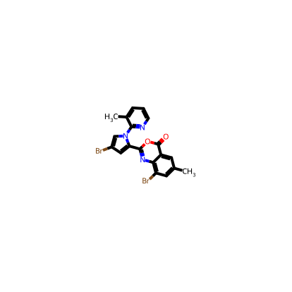 Cc1cc(Br)c2nc(-c3cc(Br)cn3-c3ncccc3C)oc(=O)c2c1